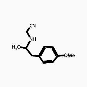 COc1ccc(CC(C)NCC#N)cc1